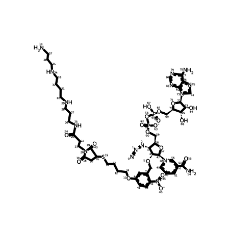 [N-]=[N+]=N[C@H]1[C@@H](OCc2cc(OCCCCSC3CC(=O)N(CCC(=O)NCCCNCCCCNCCCN)C3=O)ccc2[N+](=O)[O-])[C@H]([n+]2cccc(C(N)=O)c2)O[C@@H]1COP(=O)([O-])OP(=O)(O)OC[C@H]1O[C@@H](n2cnc3c(N)ncnc32)[C@H](O)[C@@H]1O